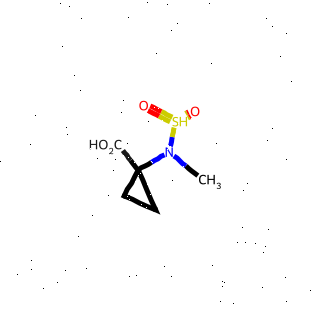 CN([SH](=O)=O)C1(C(=O)O)CC1